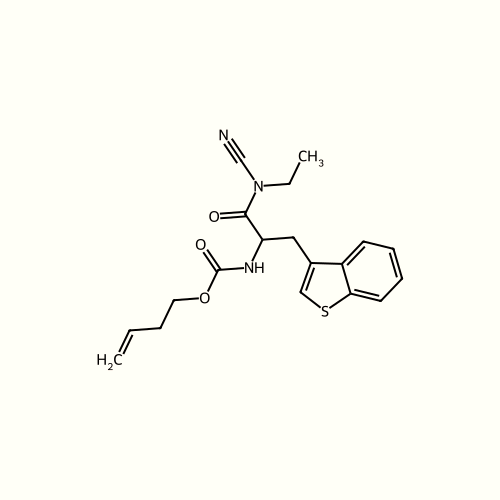 C=CCCOC(=O)NC(Cc1csc2ccccc12)C(=O)N(C#N)CC